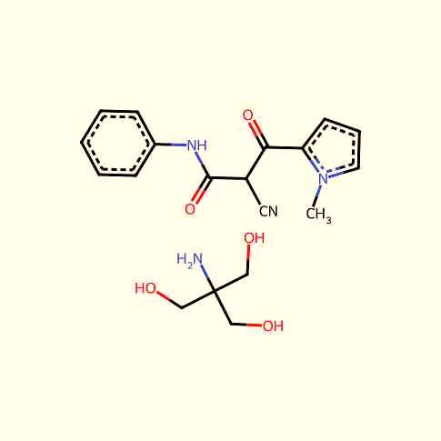 Cn1cccc1C(=O)C(C#N)C(=O)Nc1ccccc1.NC(CO)(CO)CO